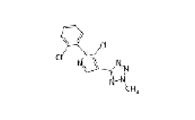 Cn1nnc(-c2cnn(-c3ccccc3Cl)c2Cl)n1